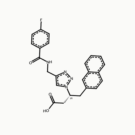 O=C(O)C[C@@H](Cc1ccc2ccccc2c1)n1cc(CNC(=O)c2ccc(F)cc2)nn1